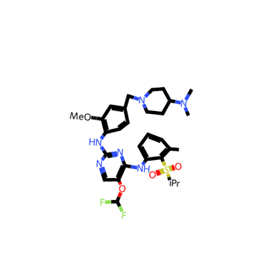 COc1cc(CN2CCC(N(C)C)CC2)ccc1Nc1ncc(OC(F)F)c(Nc2cccc(C)c2S(=O)(=O)C(C)C)n1